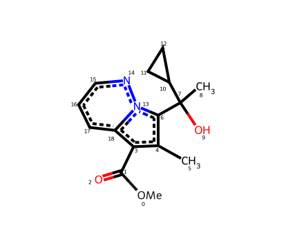 COC(=O)c1c(C)c(C(C)(O)C2CC2)n2ncccc12